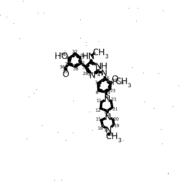 CNc1nc(Nc2ccc(N3CCC(N4CCN(C)CC4)CC3)cc2OC)ncc1-c1ccc(O)c(C=O)c1